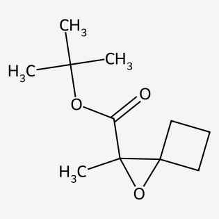 CC(C)(C)OC(=O)C1(C)OC12CCC2